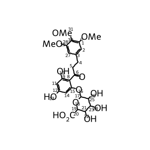 COc1cc(CCC(=O)c2c(O)cc(O)cc2OC2OC(C(=O)O)C(O)C(O)C2O)cc(OC)c1OC